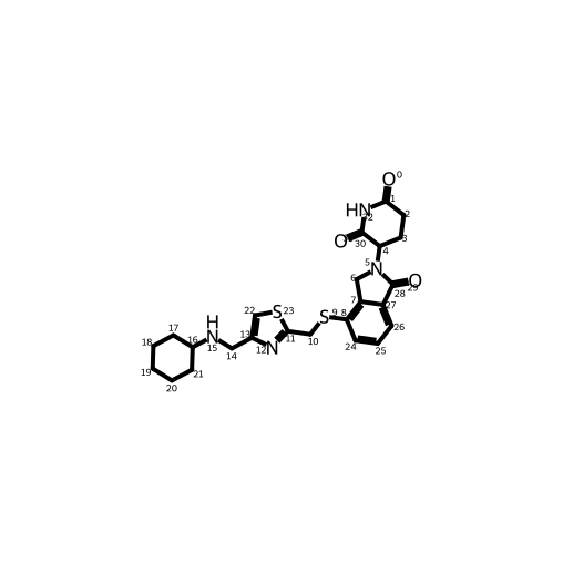 O=C1CCC(N2Cc3c(SCc4nc(CNC5CCCCC5)cs4)cccc3C2=O)C(=O)N1